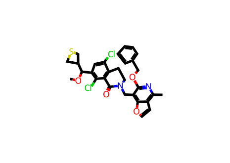 COC(c1cc(Cl)c2c(c1Cl)C(=O)N(Cc1c(OCc3ccccc3)nc(C)c3ccoc13)CC2)C1CSC1